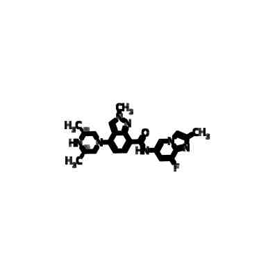 Cc1cn2cc(NC(=O)c3ccc(N4C[C@@H](C)N[C@H](C)C4)c4cn(C)nc34)cc(F)c2n1